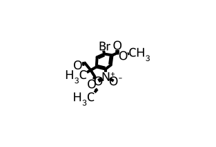 CCOCC(C)(C=O)c1cc(Br)c(C(=O)OC)cc1[N+](=O)[O-]